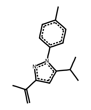 C=C(C)c1cc(C(C)C)n(-c2ccc(C)cc2)n1